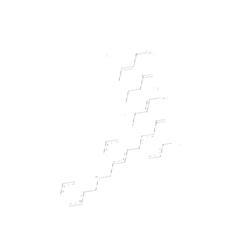 NC(=O)C1=C(O)CC2C[C@@H]3Cc4c(-c5cccc(CNCc6ccccc6)c5)ccc(O)c4C(=O)C3=C(O)[C@]2(O)C1=O